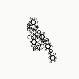 CNS(=O)(=O)c1ccc(Cl)c(NC(=O)C(Oc2ccc(S(=O)(=O)c3ccc(OCc4ccccc4)cc3)cc2)C2=Nc3ccccc3S(=O)(=O)N2C)c1